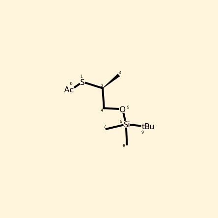 CC(=O)S[C@@H](C)CO[Si](C)(C)C(C)(C)C